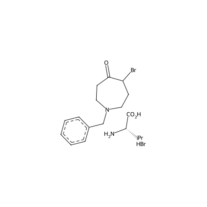 Br.CC(C)[C@H](N)C(=O)O.O=C1CCN(Cc2ccccc2)CCC1Br